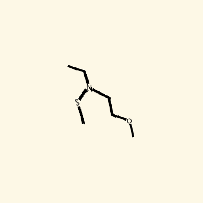 CCN(CCOC)SC